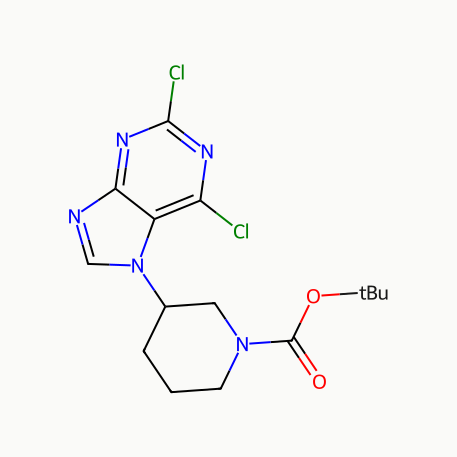 CC(C)(C)OC(=O)N1CCCC(n2cnc3nc(Cl)nc(Cl)c32)C1